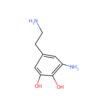 NCCc1cc(N)c(O)c(O)c1